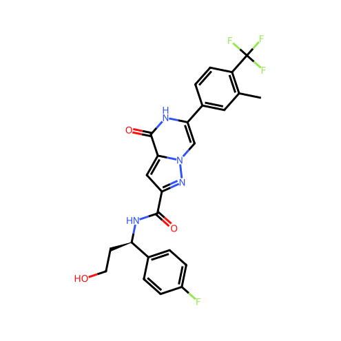 Cc1cc(-c2cn3nc(C(=O)N[C@H](CCO)c4ccc(F)cc4)cc3c(=O)[nH]2)ccc1C(F)(F)F